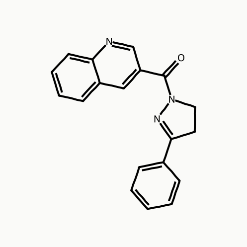 O=C(c1cnc2ccccc2c1)N1CCC(c2ccccc2)=N1